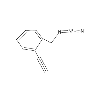 C#Cc1ccccc1CN=[N+]=[N-]